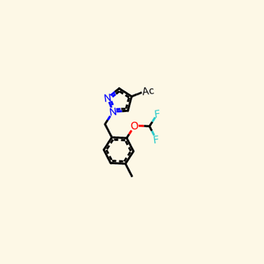 CC(=O)c1cnn(Cc2ccc(C)cc2OC(F)F)c1